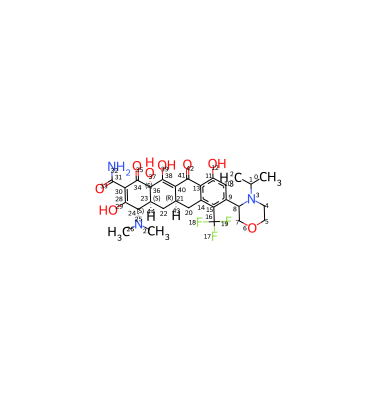 CC(C)N1CCOCC1c1cc(O)c2c(c1C(F)(F)F)C[C@H]1C[C@H]3[C@H](N(C)C)C(O)=C(C(N)=O)C(=O)[C@@]3(O)C(O)=C1C2=O